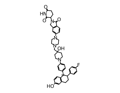 O=C1CCC(N2Cc3cc(N4CCN(CC5(O)CCN(c6ccc([C@@H]7c8ccc(O)cc8CCC7c7ccc(F)cc7)cc6)CC5)CC4)ccc3C2=O)C(=O)N1